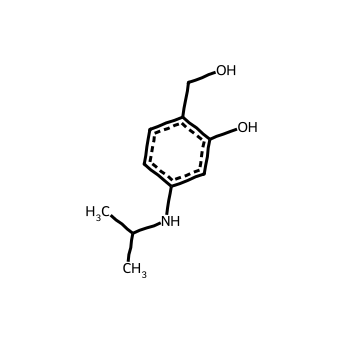 CC(C)Nc1ccc(CO)c(O)c1